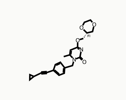 Cc1cc(OC[C@H]2COCCO2)nc(=O)n1Cc1ccc(C#CC2CC2)cc1